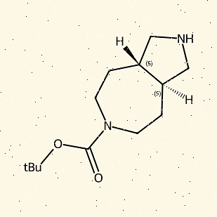 CC(C)(C)OC(=O)N1CC[C@@H]2CNC[C@H]2CC1